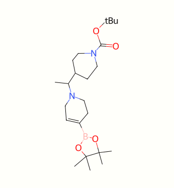 CC(C1CCN(C(=O)OC(C)(C)C)CC1)N1CC=C(B2OC(C)(C)C(C)(C)O2)CC1